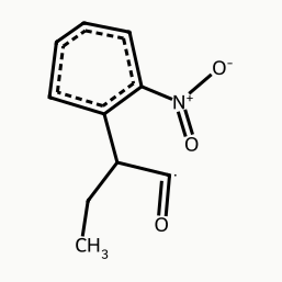 CCC([C]=O)c1ccccc1[N+](=O)[O-]